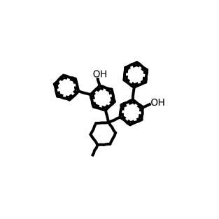 CC1CCC(c2ccc(O)c(-c3ccccc3)c2)(c2ccc(O)c(-c3ccccc3)c2)CC1